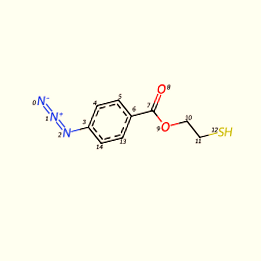 [N-]=[N+]=Nc1ccc(C(=O)OCCS)cc1